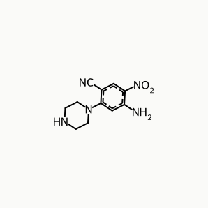 N#Cc1cc([N+](=O)[O-])c(N)cc1N1CCNCC1